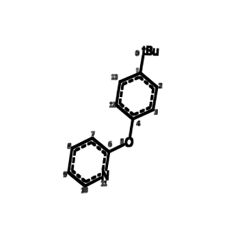 CC(C)(C)c1ccc(Oc2ccccn2)cc1